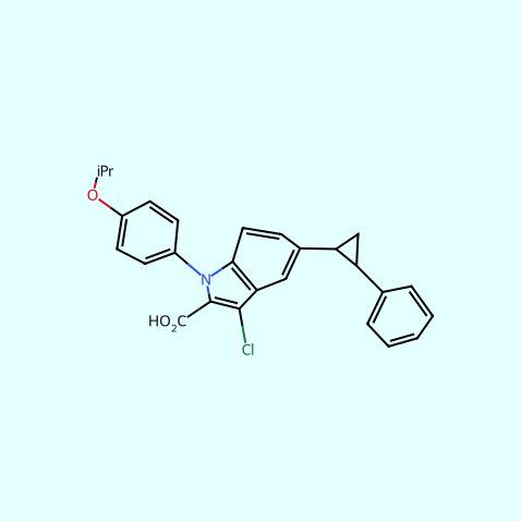 CC(C)Oc1ccc(-n2c(C(=O)O)c(Cl)c3cc(C4CC4c4ccccc4)ccc32)cc1